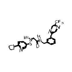 CC(C)N(CC(=O)NCc1cccc(-c2cnc(C(F)(F)F)cn2)c1)Sc1ccc(Cl)nc1